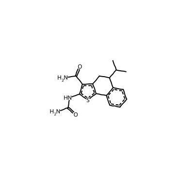 CC(C)C1Cc2c(sc(NC(N)=O)c2C(N)=O)-c2ccccc21